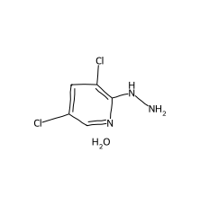 NNc1ncc(Cl)cc1Cl.O